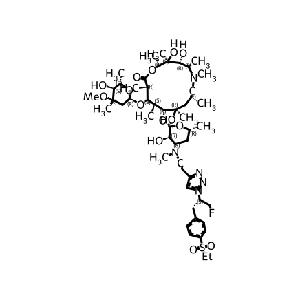 CCS(=O)(=O)c1ccc(C[C@@H](CF)n2cc(CCN(C)[C@H]3C[C@@H](C)O[C@@H](O[C@@H]4[C@@H](C)[C@H](O[C@H]5C[C@@](C)(OC)[C@@H](O)[C@H](C)O5)[C@@H](C)C(=O)O[C@H](C)[C@@](C)(O)[C@H](O)[C@@H](C)N(C)C[C@H](C)C[C@@]4(C)O)[C@@H]3O)nn2)cc1